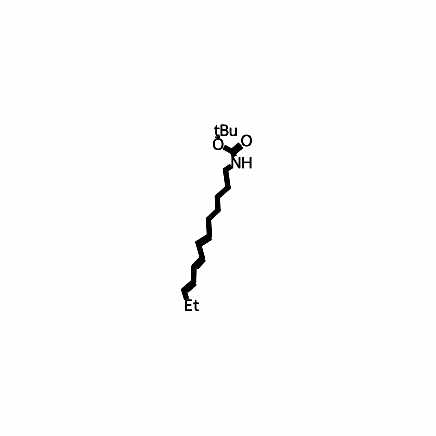 CCC=CC=CC=CCCCCCNC(=O)OC(C)(C)C